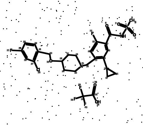 CS(=O)(=O)NC(=O)c1cc(C2CC2)c(CN2CCC(OCc3ccc(F)cc3Cl)CC2)cc1F.O=C(O)C(F)(F)F